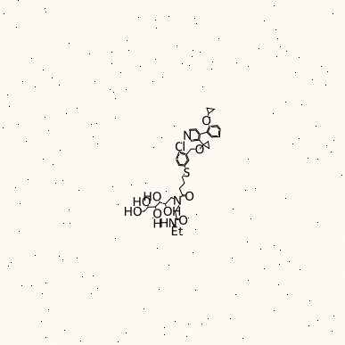 CCNC(=O)CCN(CC(O)C(O)C(O)C(O)CO)C(=O)CCCSc1ccc(Cl)c(COC2(c3cnccc3-c3ccccc3OC3CC3)CC2)c1